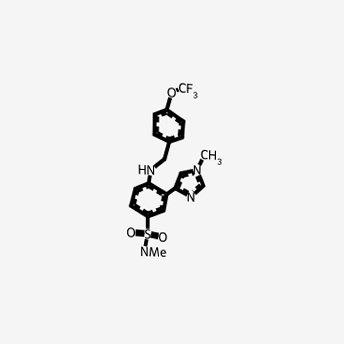 CNS(=O)(=O)c1ccc(NCc2ccc(OC(F)(F)F)cc2)c(-c2cn(C)cn2)c1